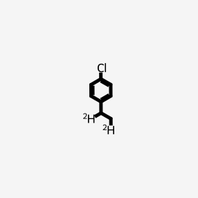 [2H]CC([2H])c1ccc(Cl)cc1